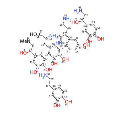 CNC[C@H](O)c1ccc(O)c(O)c1.NC(Cc1ccc(O)c(O)c1)C(=O)O.NCCc1c[nH]c2ccc(O)cc12.NCCc1ccc(O)c(O)c1.NC[C@H](O)c1ccc(O)c(O)c1